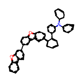 C1=CCC(c2ccc3oc4ccc(-c5ccc6c(c5)oc5ccccc56)cc4c3c2)C(c2cccc(N(c3ccccc3)C3C=CC=CC3)c2)=C1